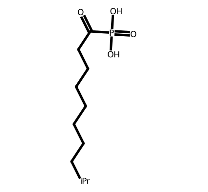 CC(C)CCCCCCCC(=O)P(=O)(O)O